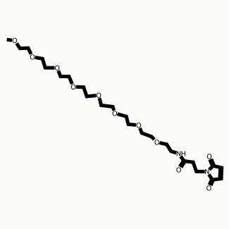 COCCOCCOCCOCCOCCOCCOCCOCCNC(=O)CCN1C(=O)C=CC1=O